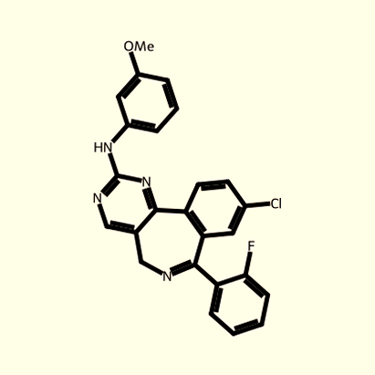 COc1cccc(Nc2ncc3c(n2)-c2ccc(Cl)cc2C(c2ccccc2F)=NC3)c1